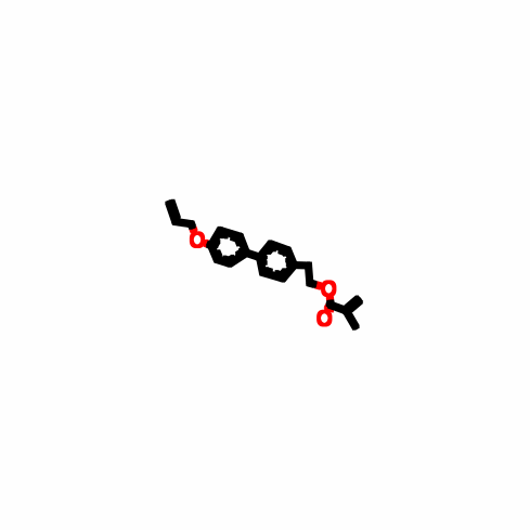 C=CCOc1ccc(-c2ccc(CCOC(=O)C(=C)C)cc2)cc1